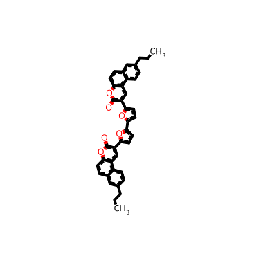 CCCc1ccc2c(ccc3oc(=O)c(-c4ccc(-c5ccc(-c6cc7c(ccc8cc(CCC)ccc87)oc6=O)o5)o4)cc32)c1